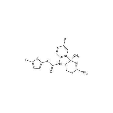 C[C@@]1(c2cc(F)ccc2NC(=O)Oc2ccc(F)s2)CCOC(N)=N1